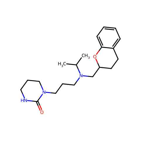 CC(C)N(CCCN1CCCNC1=O)CC1CCc2ccccc2O1